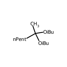 CCCCCC(C)(OCC(C)C)OCC(C)C